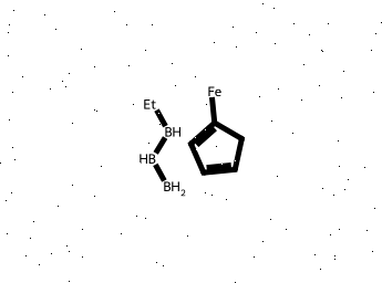 BBBCC.[Fe][C]1=CC=CC1